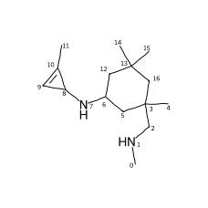 CNCC1(C)CC(NC2C=C2C)CC(C)(C)C1